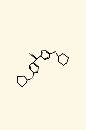 O=C(c1ccc(OC2CCCCC2)cc1)c1ccc(OC2CCCCC2)cc1